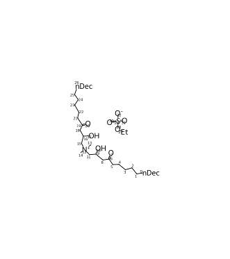 CCCCCCCCCCCCCCCC(=O)CC(O)C[N+](C)(C)CC(O)CC(=O)CCCCCCCCCCCCCCC.CCOS(=O)(=O)[O-]